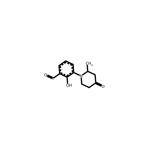 CC1CC(=O)CCN1c1cccc(I=O)c1O